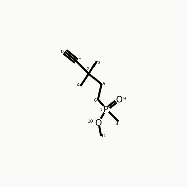 C#CC(C)(C)CCP(C)(=O)OC